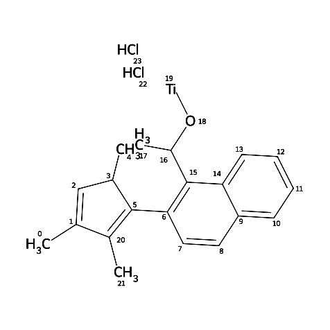 CC1=CC(C)C(c2ccc3ccccc3c2C(C)[O][Ti])=C1C.Cl.Cl